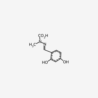 CN(N=Cc1ccc(O)cc1O)C(=O)O